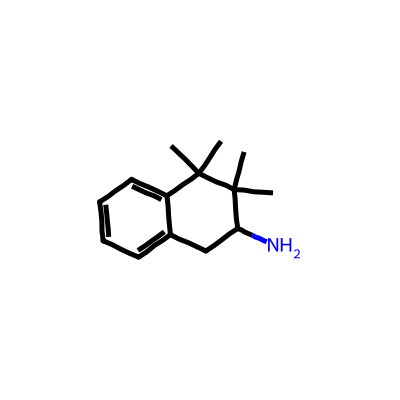 CC1(C)c2ccccc2CC(N)C1(C)C